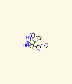 Fc1c(-c2cncc(CN3CCCCC3)c2)ccc2[nH]nc(-c3nc4c(-c5cccs5)ccnc4[nH]3)c12